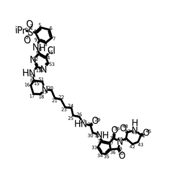 CC(C)S(=O)(=O)c1ccccc1Nc1nc(N[C@@H]2CCCN(CCCCCCCNC(=O)CNc3cccc4c3C(=O)N(C3CCC(=O)NC3=O)C4=O)C2)ncc1Cl